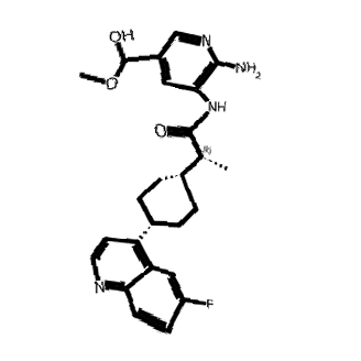 COC(O)c1cnc(N)c(NC(=O)[C@H](C)[C@H]2CC[C@@H](c3ccnc4ccc(F)cc43)CC2)c1